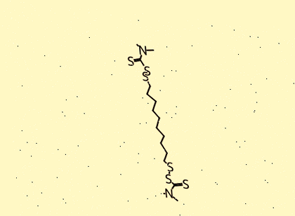 CN(C)C(=S)SSCCCCCCCCCCSSC(=S)N(C)C